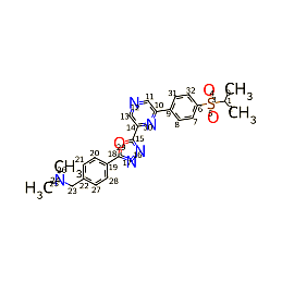 CC(C)S(=O)(=O)c1ccc(-c2cncc(-c3nnc(-c4ccc(CN(C)C)cc4)o3)n2)cc1